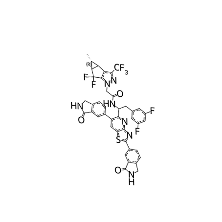 C[C@@H]1C2c3c(C(F)(F)F)nn(CC(=O)NC(Cc4cc(F)cc(F)c4)c4nc5nc(-c6ccc7c(c6)C(=O)NC7)sc5cc4-c4ccc5c(c4)C(=O)NC5)c3C(F)(F)C21